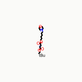 CC(C)(C)CCOC(=O)/C=C/C(=O)OCCCCCCN1CCOCC1